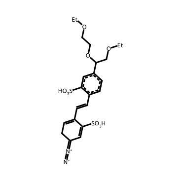 CCOCCOC(COCC)c1ccc(C=CC2=CCC(=[N+]=[N-])C=C2S(=O)(=O)O)c(S(=O)(=O)O)c1